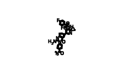 COc1ncc(-c2ccc3nc(N)n(-c4ccc(C(=O)N(C)C)cc4)c(=O)c3c2)cc1NS(=O)(=O)c1ccc(F)cc1F